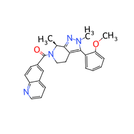 COc1ccccc1-c1c2c(nn1C)[C@H](C)N(C(=O)c1ccc3ncccc3c1)CC2